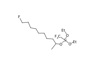 CCO[Si](OCC)(OC(C)CCCCCCCCF)C(F)(F)F